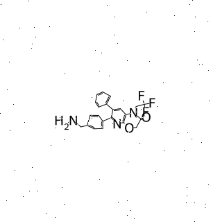 NCc1ccc(-c2nc3c(cc2-c2ccccc2)N(CC(F)(F)F)C(=O)CO3)cc1